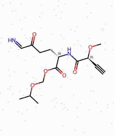 C#C[C@H](OC)C(=O)N[C@@H](CCC(=O)C=N)C(=O)OCOC(C)C